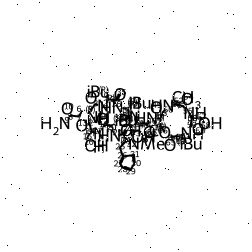 CC[C@@H](C)[C@@H](NC(=O)[C@@H](CCC(N)=O)NC(=O)[C@H](CO)NC(=O)[C@@H](NC(=O)[C@@H](Cc1ccccc1)NC)[C@@H](C)CC)C(=O)N[C@H](C(=O)N[C@@H](CO)C(=O)N[C@H]1C(=O)N[C@@H](C)C(=O)N[C@@H](CO)C(=O)N[C@@H]([C@@H](C)CC)C(=O)O[C@H]1C)[C@@H](C)CC